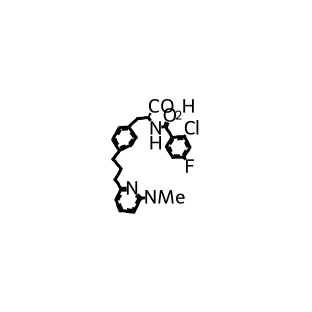 CNc1cccc(CCCc2ccc(C[C@H](NC(=O)c3ccc(F)cc3Cl)C(=O)O)cc2)n1